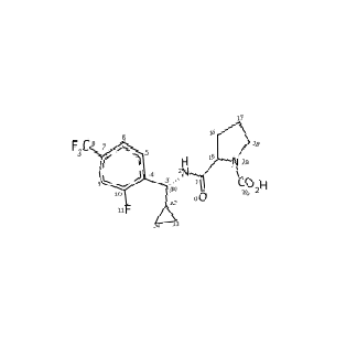 O=C(N[C@@H](c1ccc(C(F)(F)F)cc1F)C1CC1)C1CCCN1C(=O)O